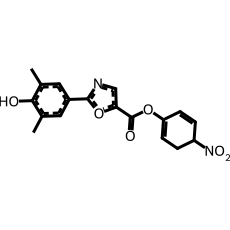 Cc1cc(-c2ncc(C(=O)OC3=CCC([N+](=O)[O-])C=C3)o2)cc(C)c1O